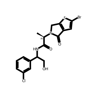 C[C@H](C(=O)NC(CO)c1cccc(Cl)c1)N1Cc2sc(Br)cc2C1=O